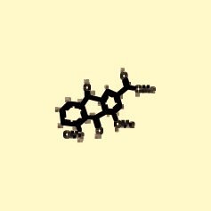 COC(=O)c1cc(OC)c2c(c1)C(=O)c1cccc(OC)c1C2=O